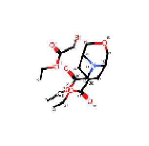 CCOC(=O)CBr.CCOC(=O)CN1C2COCC1CC(C(=O)OCC)C2